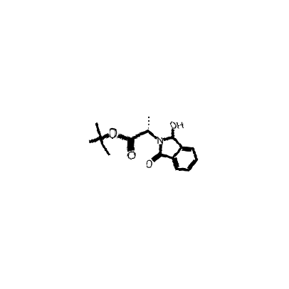 C[C@@H](C(=O)OC(C)(C)C)N1C(=O)c2ccccc2C1O